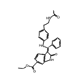 CCOC(=O)c1ccc2c(c1)NC(=O)C2=C(Nc1ccc(CCNC(C)=O)cc1)c1ccccc1